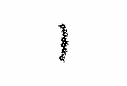 Cc1cccc(-c2nc3ncc(-c4ccc5c(c4)C(C)(C)c4cc(-c6cnc7nc(-c8cccc(C)n8)oc7c6)ccc4-5)cc3o2)n1